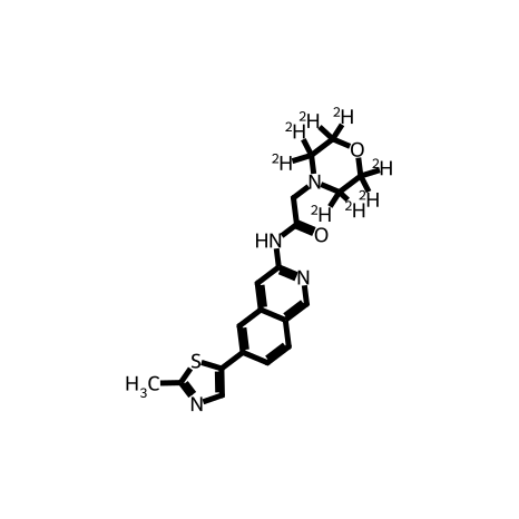 [2H]C1([2H])OC([2H])([2H])C([2H])([2H])N(CC(=O)Nc2cc3cc(-c4cnc(C)s4)ccc3cn2)C1([2H])[2H]